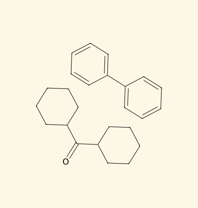 O=C(C1CCCCC1)C1CCCCC1.c1ccc(-c2ccccc2)cc1